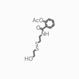 CC(=O)Oc1ccccc1C(=O)NCCSSCCO